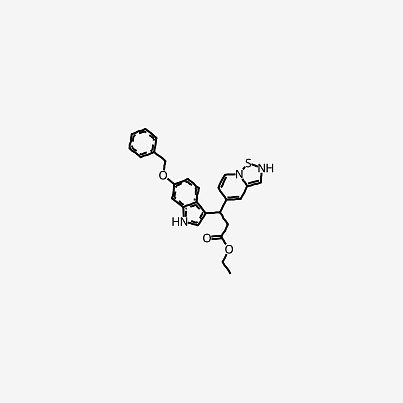 CCOC(=O)CC(C1=CC2=CNSN2C=C1)c1c[nH]c2cc(OCc3ccccc3)ccc12